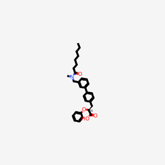 CCCCCCCC(=O)N(C)Cc1cccc(-c2ccc(C[C@H](Oc3ccccc3)C(=O)O)cc2)c1